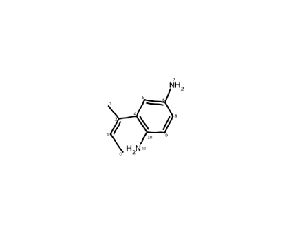 C/C=C(/C)c1cc(N)ccc1N